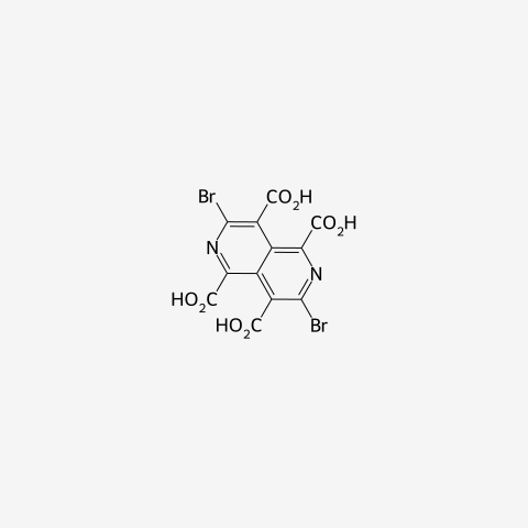 O=C(O)c1nc(Br)c(C(=O)O)c2c(C(=O)O)nc(Br)c(C(=O)O)c12